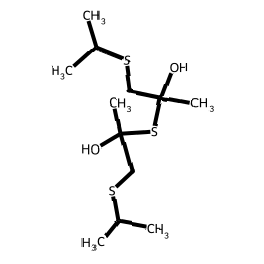 CC(C)SCC(C)(O)SC(C)(O)CSC(C)C